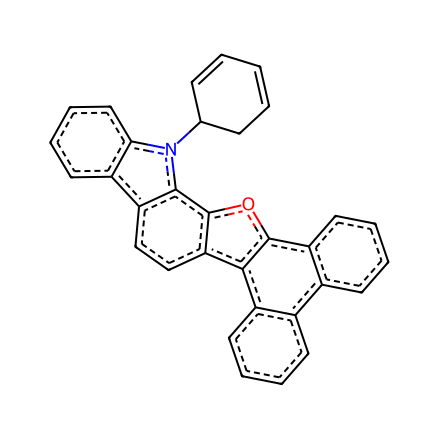 C1=CCC(n2c3ccccc3c3ccc4c(oc5c6ccccc6c6ccccc6c45)c32)C=C1